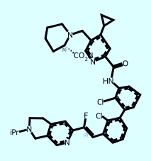 CC(C)N1CCc2cc(/C(F)=C/c3cccc(-c4cccc(NC(=O)c5cc(C6CC6)c(CN6CCCC[C@H]6C(=O)O)cn5)c4Cl)c3Cl)ncc2C1